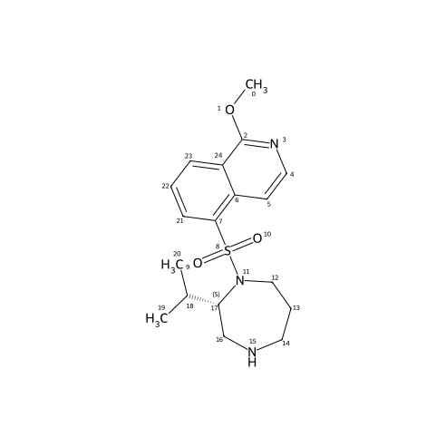 COc1nccc2c(S(=O)(=O)N3CCCNC[C@@H]3C(C)C)cccc12